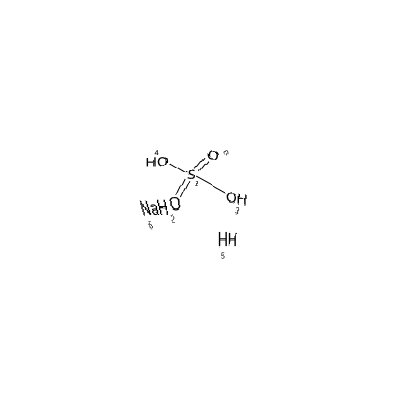 O=S(=O)(O)O.[HH].[NaH]